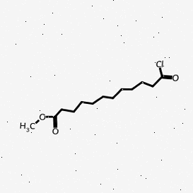 COC(=O)CCCCCCCCCCC(=O)Cl